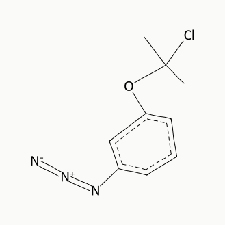 CC(C)(Cl)Oc1cccc(N=[N+]=[N-])c1